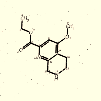 CCOC(=O)c1cc(OC)c2c(n1)CNCC2